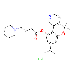 CC(C)c1cc(OC(=O)CCCN2CCCCC2)c2c(c1)OC(C)(C)c1ccncc1-2.Cl